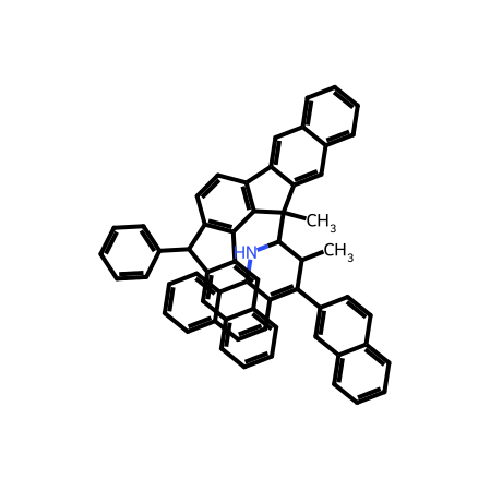 CC1C(c2ccc3ccccc3c2)=C2C=Cc3ccccc3C2NC1C1(C)c2cc3ccccc3cc2-c2ccc3c(c21)-c1cc2ccccc2cc1C3c1ccccc1